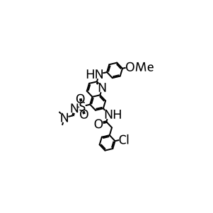 COc1ccc(Nc2ccc3c(S(=O)(=O)/N=C/N(C)C)cc(NC(=O)Cc4ccccc4Cl)cc3n2)cc1